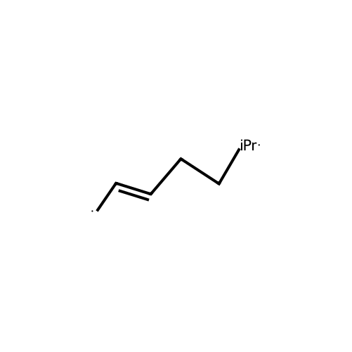 [CH2]C=CCC[C](C)C